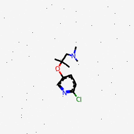 CN(C)CC(C)(C)Oc1ccc(Cl)nc1